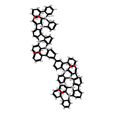 c1ccc(-c2cc(-c3ccc(B4c5ccccc5-n5c6c4cccc6c4ccc6c7cccc8c7n(c6c45)-c4ccccc4B8c4ccccc4-c4ccccc4)c(-c4ccccc4)c3)ccc2B2c3ccccc3-n3c4ccc5c6cccc7c6n(c5c4c4cccc2c43)-c2ccccc2B7c2ccccc2-c2ccccc2)cc1